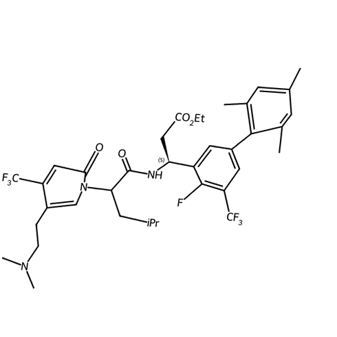 CCOC(=O)C[C@H](NC(=O)C(CC(C)C)n1cc(CCN(C)C)c(C(F)(F)F)cc1=O)c1cc(-c2c(C)cc(C)cc2C)cc(C(F)(F)F)c1F